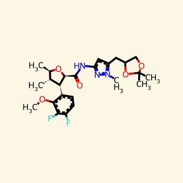 COc1c([C@@H]2[C@H](C)[C@@H](C)O[C@H]2C(=O)Nc2cc(CC3COC(C)(C)O3)n(C)n2)ccc(F)c1F